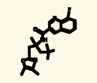 Cc1nc(CC(C)(CC(C)(C)C)NC(=O)c2cnc3c(F)cccc3c2)oc1C